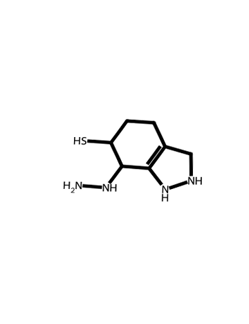 NNC1C2=C(CCC1S)CNN2